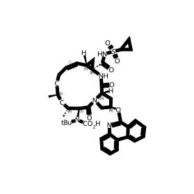 C[C@H]1CC/C=C\[C@@H]2C[C@@]2(C(=O)NS(=O)(=O)C2CC2)NC(=O)[C@@H]2C[C@@H](Oc3nc4ccccc4c4ccccc34)CN2C(=O)[C@@H](N(C(=O)O)C(C)(C)C)[C@H](C)C1